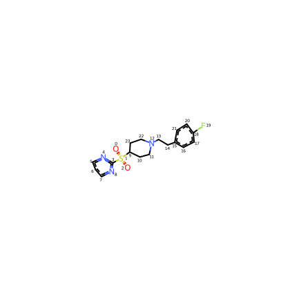 O=S(=O)(c1ncccn1)C1CCN(CCc2ccc(F)cc2)CC1